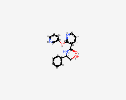 O=C(NC(CO)c1ccccc1)c1cccnc1Oc1cccnc1